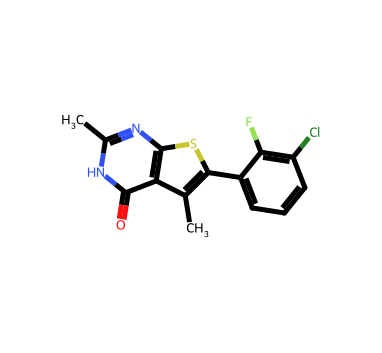 Cc1nc2sc(-c3cccc(Cl)c3F)c(C)c2c(=O)[nH]1